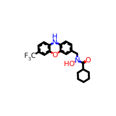 O=C(C1CCCCC1)N(O)Cc1ccc2c(c1)Oc1cc(C(F)(F)F)ccc1N2